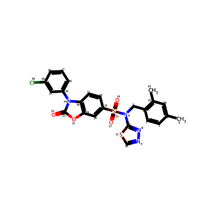 Cc1ccc(CN(c2nncs2)S(=O)(=O)c2ccc3c(c2)oc(=O)n3-c2cccc(Cl)c2)c(C)c1